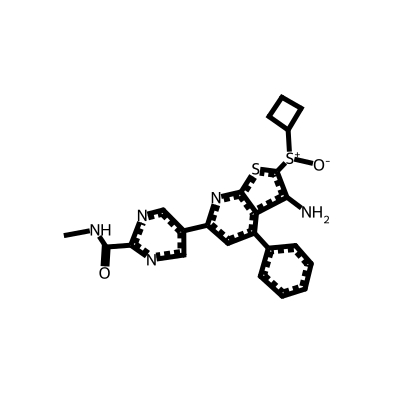 CNC(=O)c1ncc(-c2cc(-c3ccccc3)c3c(N)c([S+]([O-])C4CCC4)sc3n2)cn1